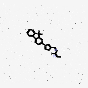 C/C=C(I)\C=C/C1=CC(c2ccc3c(c2)C(C)(C)c2ccccc2-3)=CC1